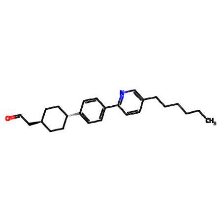 CCCCCCc1ccc(-c2ccc([C@H]3CC[C@H](CC=O)CC3)cc2)nc1